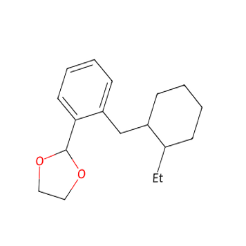 CCC1CCCCC1Cc1ccccc1C1OCCO1